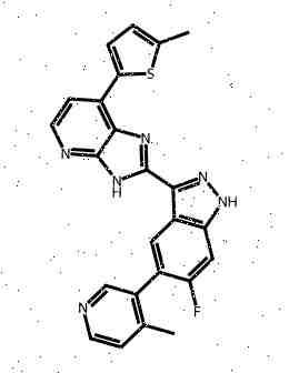 Cc1ccc(-c2ccnc3[nH]c(-c4n[nH]c5cc(F)c(-c6cnccc6C)cc45)nc23)s1